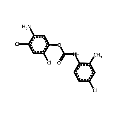 Cc1cc(Cl)ccc1NC(=O)Oc1cc(N)c(Cl)cc1Cl